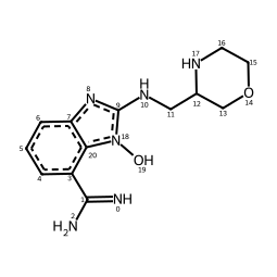 N=C(N)c1cccc2nc(NCC3COCCN3)n(O)c12